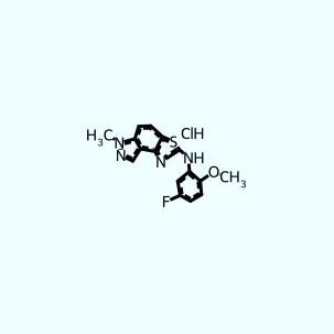 COc1ccc(F)cc1Nc1nc2c(ccc3c2cnn3C)s1.Cl